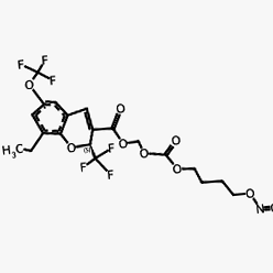 CCc1cc(OC(F)(F)F)cc2c1O[C@H](C(F)(F)F)C(C(=O)OCOC(=O)OCCCCON=O)=C2